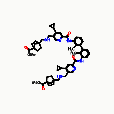 COC(=O)C12CCC(CNCc3cnc(C(=O)Nc4cccc(-c5cccc(NC(=O)c6cc(C7CC7)c(CNCC78CCC(C(=O)OC)(CC7)C8)cn6)c5C)c4C)cc3C3CC3)(CC1)C2